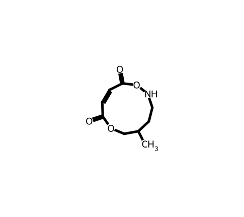 CC1CCNOC(=O)C=CC(=O)OC1